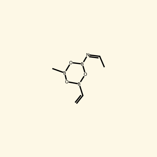 C=CB1OB(C)OB(/N=C\C)O1